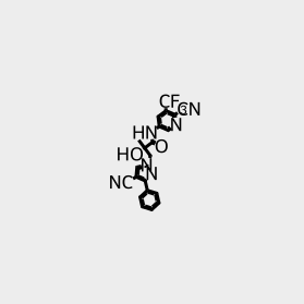 CC(O)(Cn1cc(C#N)c(-c2ccccc2)n1)C(=O)Nc1cnc(C#N)c(C(F)(F)F)c1